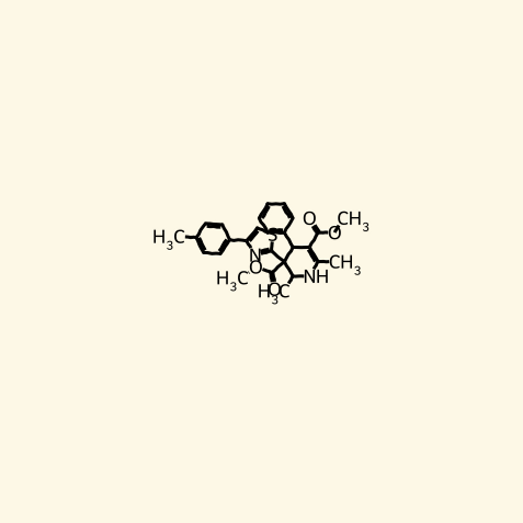 COC(=O)C1=C(C)NC(C)C(C(=O)OC)(c2nc(-c3ccc(C)cc3)cs2)C1c1ccccc1